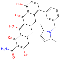 CC1C=CC(C)N1Cc1cccc(-c2ccc(O)c3c2CC2CC4CC(O)=C(C(N)=O)C(=O)C4C(O)=C2C3=O)c1